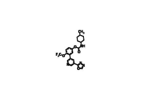 CC1CCC(NC(=O)Oc2ccc(OC(F)(F)F)c(-c3cncc(-c4nnco4)c3)c2)CC1